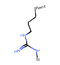 CCCCCCCCNC(=N)NCC